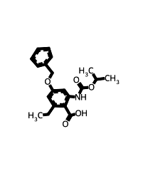 CCc1cc(OCc2ccccc2)cc(NC(=O)OC(C)C)c1C(=O)O